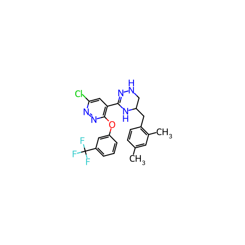 Cc1ccc(CC2CNN=C(c3cc(Cl)nnc3Oc3cccc(C(F)(F)F)c3)N2)c(C)c1